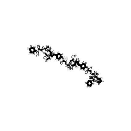 COC(Cn1c(SCC(=O)Nc2ccc(-c3ccc(-c4nnc(SCC(=O)Nc5ccccc5)n4CC4OCCO4)s3)cc2)nnc1-c1ccc(-c2ccc(NC(=O)CSc3nnc(-c4cccs4)n3S(=O)(=O)c3ccccc3)cc2)s1)OC